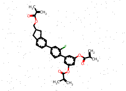 C=C(C)C(=O)OCC1Cc2ccc(-c3ccc(-c4cc(OC(=O)C(=C)C)cc(OC(=O)C(=C)C)c4)c(F)c3)cc2C1